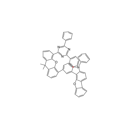 CC1(C)c2cccc(-c3ccc4c(c3)c3c5oc6ccccc6c5ccc3n4-c3ccccc3)c2Oc2c(-c3nc(-c4ccccc4)nc(-c4ccccc4)n3)cccc21